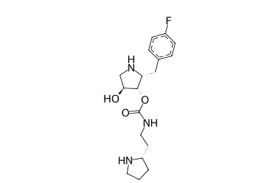 O=C(NCC[C@@H]1CCCN1)O[C@@H]1[C@@H](O)CN[C@@H]1Cc1ccc(F)cc1